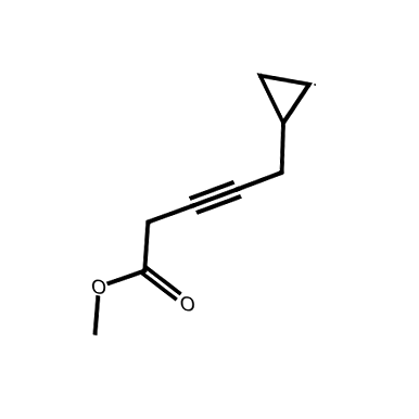 COC(=O)CC#CCC1[CH]C1